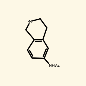 CC(=O)Nc1ccc2c(c1)CC[N]C2